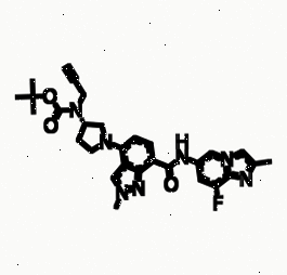 C#CCN(C(=O)OC(C)(C)C)[C@H]1CCN(c2ccc(C(=O)Nc3cc(F)c4nc(C)cn4c3)c3nn(C)cc23)C1